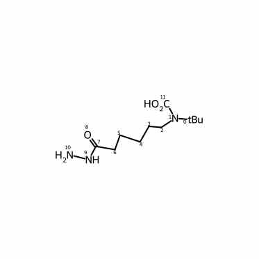 CC(C)(C)N(CCCCCC(=O)NN)C(=O)O